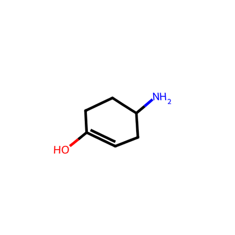 NC1CC=C(O)CC1